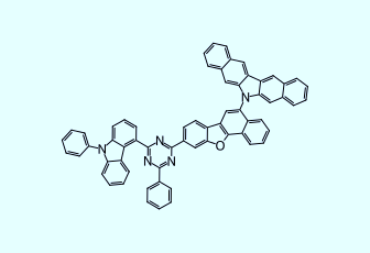 c1ccc(-c2nc(-c3ccc4c(c3)oc3c5ccccc5c(-n5c6cc7ccccc7cc6c6cc7ccccc7cc65)cc43)nc(-c3cccc4c3c3ccccc3n4-c3ccccc3)n2)cc1